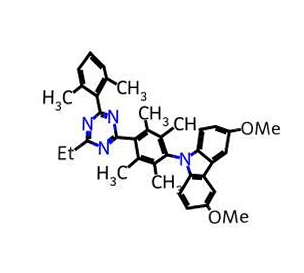 CCc1nc(-c2c(C)cccc2C)nc(-c2c(C)c(C)c(-n3c4ccc(OC)cc4c4cc(OC)ccc43)c(C)c2C)n1